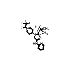 CC(C)(C)OC(=O)N(CC(=O)Nc1ccccn1)C1CCN(C(=O)C(F)(F)F)CC1